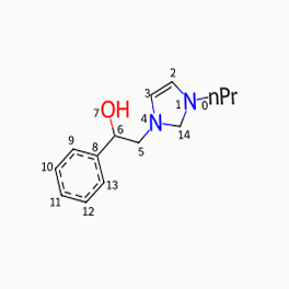 CCCN1C=CN(CC(O)c2ccccc2)C1